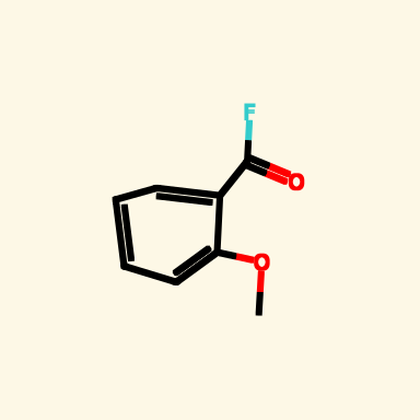 COc1ccccc1C(=O)F